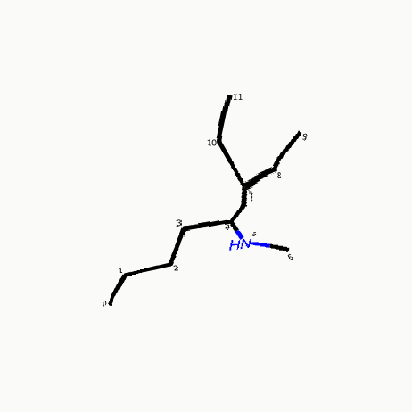 CCCCC(NC)C(CC)CC